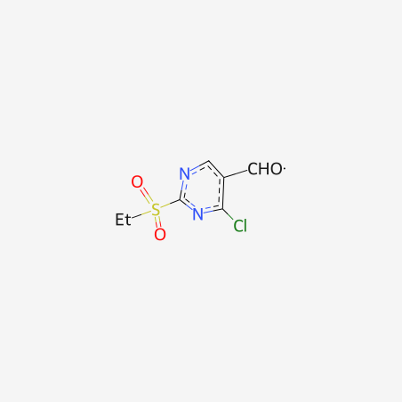 CCS(=O)(=O)c1ncc([C]=O)c(Cl)n1